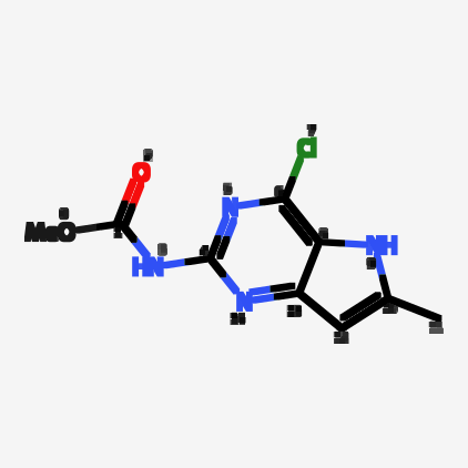 COC(=O)Nc1nc(Cl)c2[nH]c(C)cc2n1